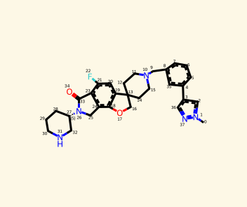 Cn1cc(-c2cccc(CN3CCC4(CC3)COc3c4cc(F)c4c3CN([C@H]3CCCNC3)C4=O)c2)cn1